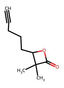 C#CCCCC1OC(=O)C1(C)C